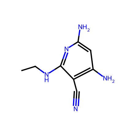 CCNc1nc(N)cc(N)c1C#N